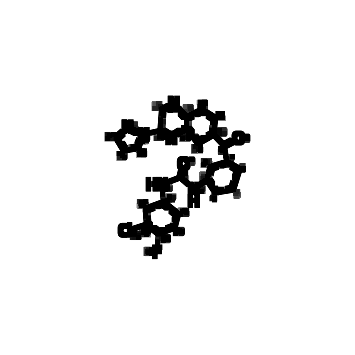 O=C(Nc1cccc(C(=O)c2ccc3ncc(-n4cccn4)nc3c2)c1)Nc1ccc(F)c(Cl)c1